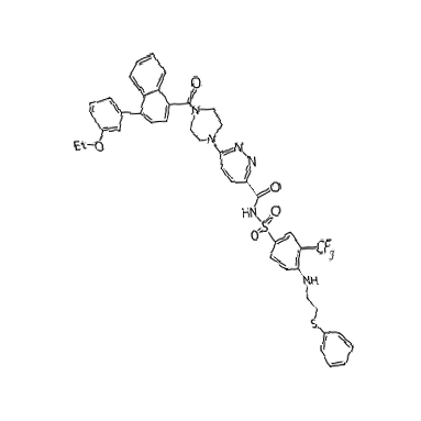 CCOc1cccc(-c2ccc(C(=O)N3CCN(c4ccc(C(=O)NS(=O)(=O)c5ccc(NCCSc6ccccc6)c(C(F)(F)F)c5)nn4)CC3)c3ccccc23)c1